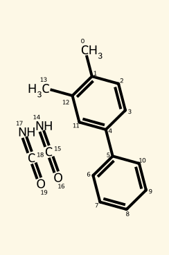 Cc1ccc(-c2ccccc2)cc1C.N=C=O.N=C=O